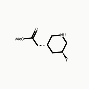 COC(=O)C[C@@H]1CNC[C@@H](F)C1